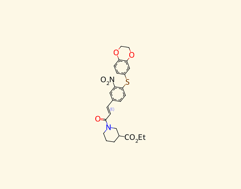 CCOC(=O)C1CCCN(C(=O)/C=C/c2ccc(Sc3ccc4c(c3)OCCO4)c([N+](=O)[O-])c2)C1